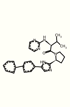 CC(C)[C@H](Nc1ncccn1)C(=O)N1CCC[C@H]1c1ncc(-c2ccc(-c3ccccc3)cc2)[nH]1